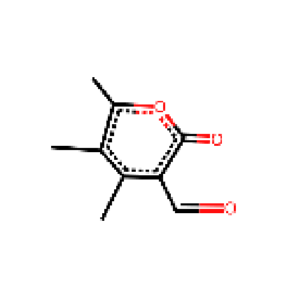 Cc1oc(=O)c(C=O)c(C)c1C